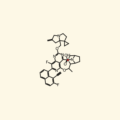 C#Cc1c(F)ccc2cccc(-c3nc4c5c(nc(OCC67CC(=C)CN6CCC76CC6)nc5c3F)N3CC5CCC(C3C(C)O4)N5C(=O)O)c12